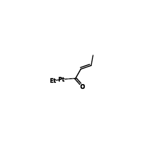 CC=C[C](=O)[Pt][CH2]C